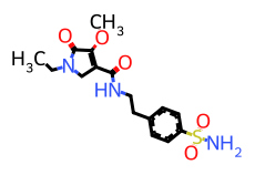 CCN1CC(C(=O)NCCc2ccc(S(N)(=O)=O)cc2)=C(OC)C1=O